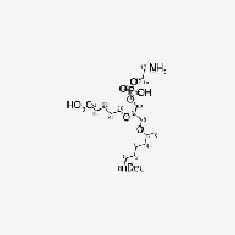 CCCCCCCCCCCCCCC(C)OC[C@H](COP(=O)(O)OCCN)OCCCCC(=O)O